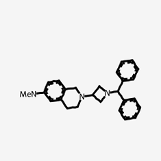 CNc1ccc2c(c1)CCN(C1CN(C(c3ccccc3)c3ccccc3)C1)C2